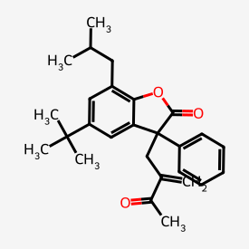 C=C(CC1(c2ccccc2)C(=O)Oc2c(CC(C)C)cc(C(C)(C)C)cc21)C(C)=O